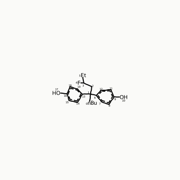 CCCCC(CC(F)CC)(c1ccc(O)cc1)c1ccc(O)cc1